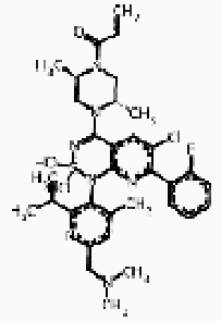 C=CC(=O)N1C[C@H](C)N(C2=NS(O)(O)N(c3c(C)cc(CN(C)C)nc3C(C)C)c3nc(-c4ccccc4F)c(Cl)cc32)C[C@H]1C